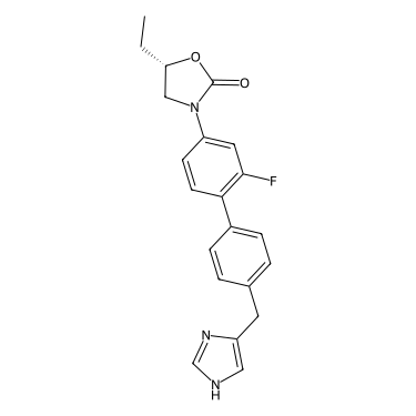 CC[C@H]1CN(c2ccc(-c3ccc(Cc4c[nH]cn4)cc3)c(F)c2)C(=O)O1